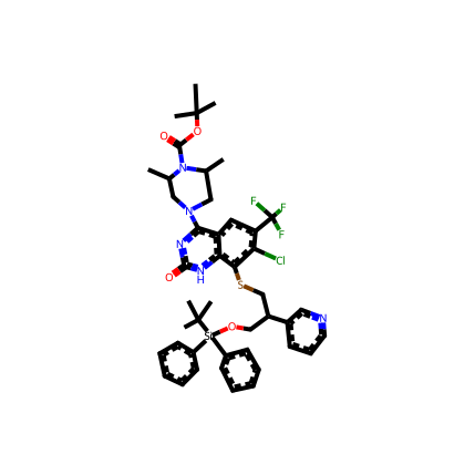 CC1CN(c2nc(=O)[nH]c3c(SCC(CO[Si](c4ccccc4)(c4ccccc4)C(C)(C)C)c4cccnc4)c(Cl)c(C(F)(F)F)cc23)CC(C)N1C(=O)OC(C)(C)C